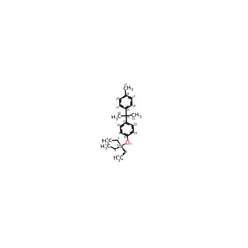 CC[Si](CC)(CC)Oc1ccc(C(C)(C)c2ccc(C)cc2)cc1